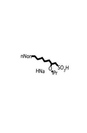 CCCCCCCCCCCCCCC(CS(=O)(=O)O)OC(C)C.[NaH]